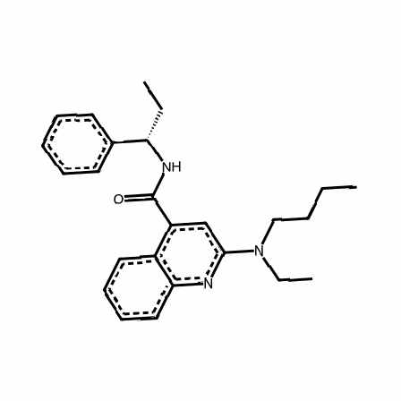 CCCCN(CC)c1cc(C(=O)N[C@@H](CC)c2ccccc2)c2ccccc2n1